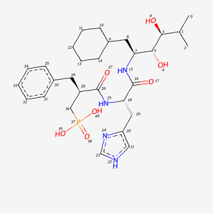 CC(C)[C@H](O)[C@H](O)[C@H](CC1CCCCC1)NC(=O)[C@H](Cc1c[nH]cn1)NC(=O)[C@H](Cc1ccccc1)CP(=O)(O)O